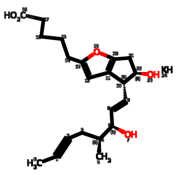 CC#CC[C@H](C)[C@H](O)C=C[C@@H]1c2cc(CCCCC(=O)O)oc2C[C@H]1O.[KH]